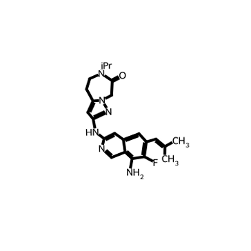 CC(C)=Cc1cc2cc(Nc3cc4n(n3)CC(=O)N(C(C)C)CC4)ncc2c(N)c1F